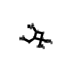 CN1CC(C)(C)[C@H]1CO